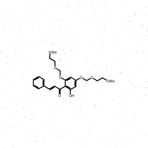 COCCOCOc1cc(O)c(C(=O)C=Cc2ccccc2)c(OCOCCOC)c1